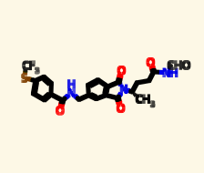 C[C@@H](CCC(=O)NC=O)N1C(=O)c2ccc(CNC(=O)c3ccc(SC(F)(F)F)cc3)cc2C1=O